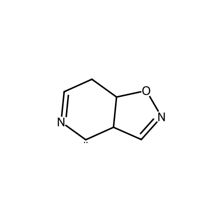 [C]1N=CCC2ON=CC12